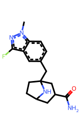 Cn1nc(F)c2cc(CC34CCC(CC(C(N)=O)C3)N4)ccc21